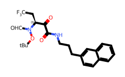 CC(C)(C)ON(C=O)[C@@H](CC(F)(F)F)C(=O)C(=O)NCCCc1ccc2ccccc2c1